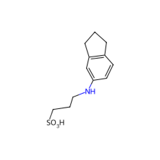 O=S(=O)(O)CCCNc1ccc2c(c1)CCC2